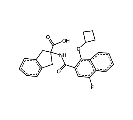 O=C(NC1(C(=O)O)Cc2ccccc2C1)c1cc(F)c2ccccc2c1OC1CCC1